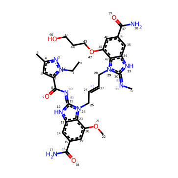 CCn1nc(C)cc1C(=O)/N=c1\[nH]c2cc(C(N)=O)cc(OC)c2n1C/C=C/Cn1/c(=N/C)[nH]c2cc(C(N)=O)cc(OCCCO)c21